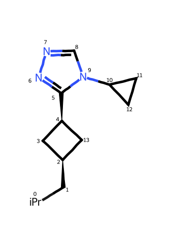 CC(C)C[C@H]1C[C@@H](c2nncn2C2CC2)C1